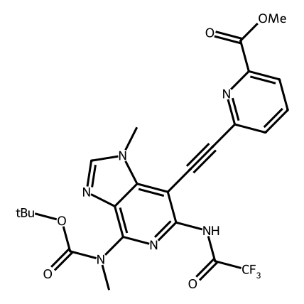 COC(=O)c1cccc(C#Cc2c(NC(=O)C(F)(F)F)nc(N(C)C(=O)OC(C)(C)C)c3ncn(C)c23)n1